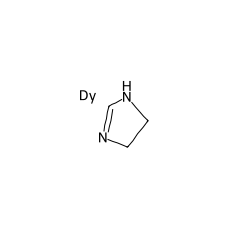 C1=NCCN1.[Dy]